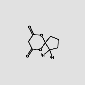 [2H]C1([2H])CCCC12OC(=O)CC(=O)O2